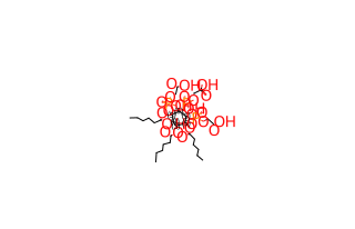 CCCCCC(=O)O[C@@H]1[C@@H](OC(=O)CCCCC)[C@H](OP(=O)(O)OCC(=O)O)[C@@H](OP(=O)(O)OCC(=O)O)[C@@H](OP(=O)(O)OCC(=O)O)[C@H]1OC(=O)CCCCC